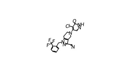 N#Cc1nn(Cc2ccccc2C(F)(F)F)c2c1CN(c1cn[nH]c(=O)c1Cl)CC2